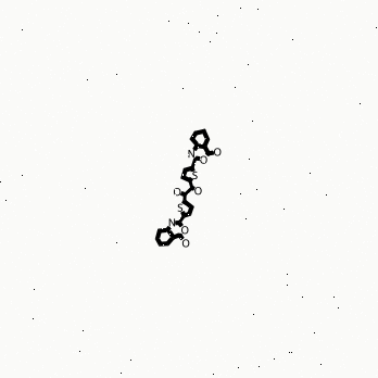 O=C(C(=O)c1ccc(-c2nc3ccccc3c(=O)o2)s1)c1ccc(-c2nc3ccccc3c(=O)o2)s1